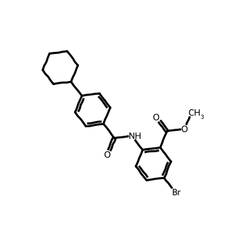 COC(=O)c1cc(Br)ccc1NC(=O)c1ccc(C2CCCCC2)cc1